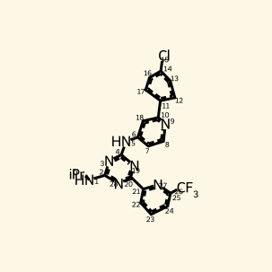 CC(C)Nc1nc(Nc2ccnc(-c3ccc(Cl)cc3)c2)nc(-c2cccc(C(F)(F)F)n2)n1